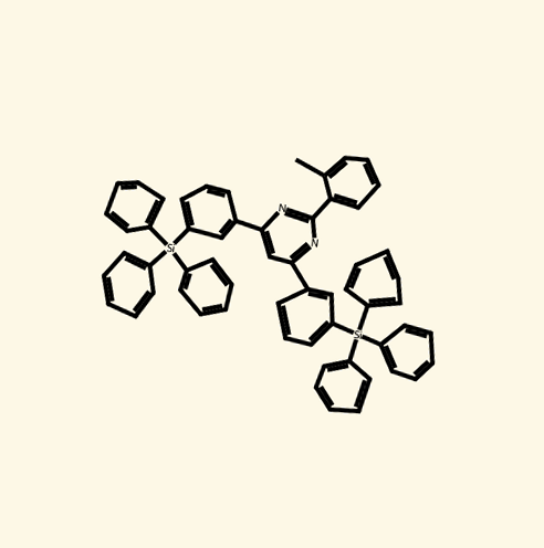 Cc1ccccc1-c1nc(-c2cccc([Si](c3ccccc3)(c3ccccc3)c3ccccc3)c2)cc(-c2cccc([Si](c3ccccc3)(c3ccccc3)c3ccccc3)c2)n1